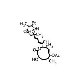 CCC(O)C(C)[C@H]1O[C@@H]1CC(C)(O)/C=C/C=C(\C)[C@H]1OC(=O)C[C@@H](O)CC[C@@H](C)[C@@H](OC(C)=O)/C=C/[C@@H]1C